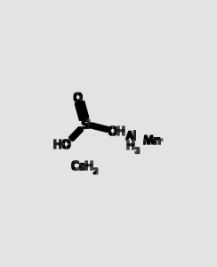 O=[Si](O)O.[AlH3].[CaH2].[Mn]